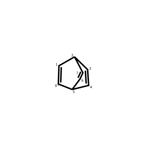 [C]1=CC2C=CC1C=C2